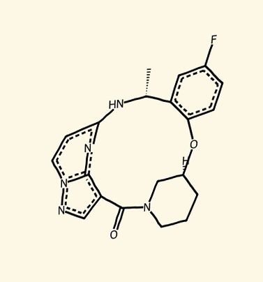 C[C@H]1Nc2ccn3ncc(c3n2)C(=O)N2CCC[C@@H](C2)Oc2ccc(F)cc21